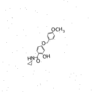 COc1ccc(COc2ccc(C(=O)NC3CC3)c(O)c2)cc1